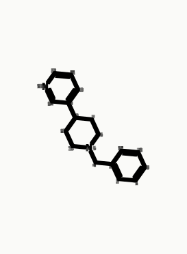 c1ccc(CN2CCC(c3cccnc3)CC2)cc1